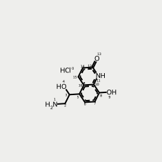 Cl.NCC(O)c1ccc(O)c2[nH]c(=O)ccc12